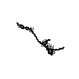 CCCCCCCC1OC(C)CC(CC(O)CC2CC(CC)OC(CCCCCCCCCCOC(=O)c3ccc(-c4ccc(OCC)cc4)cc3)O2)O1